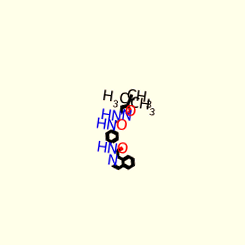 CC(C)(C)c1cc(NC(=O)Nc2ccc(NC(=O)c3nccc4ccccc34)cc2)no1